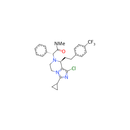 CNC(=O)[C@@H](c1ccccc1)N1CCn2c(C3CC3)nc(Cl)c2[C@@H]1CCc1ccc(C(F)(F)F)cc1